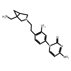 NCC12CC1CN(CCc1ccc(-n3ccc(N)nc3=O)cc1C(F)(F)F)C2